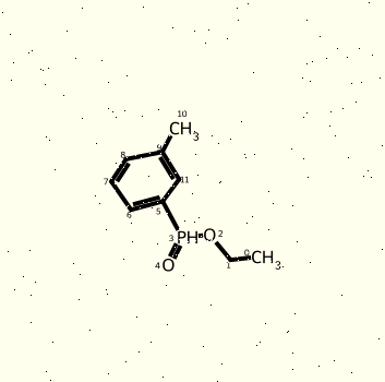 CCO[PH](=O)c1cccc(C)c1